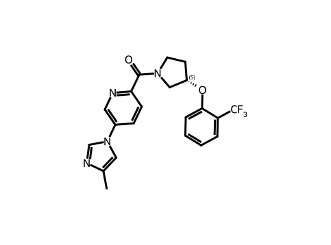 Cc1cn(-c2ccc(C(=O)N3CC[C@H](Oc4ccccc4C(F)(F)F)C3)nc2)cn1